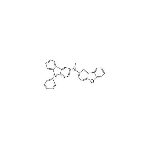 CN(c1ccc2oc3ccccc3c2c1)c1ccc2c(c1)c1ccccc1n2-c1ccccc1